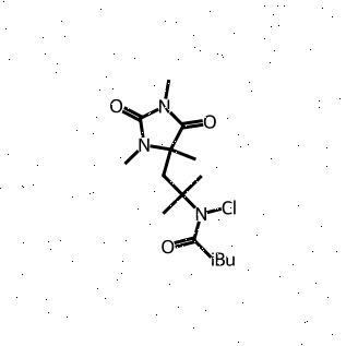 CCC(C)C(=O)N(Cl)C(C)(C)CC1(C)C(=O)N(C)C(=O)N1C